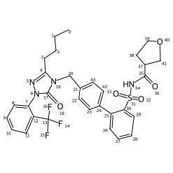 CCCCc1nn(-c2ccccc2C(F)(F)F)c(=O)n1Cc1ccc(-c2ccccc2S(=O)(=O)NC(=O)C2CCOC2)cc1